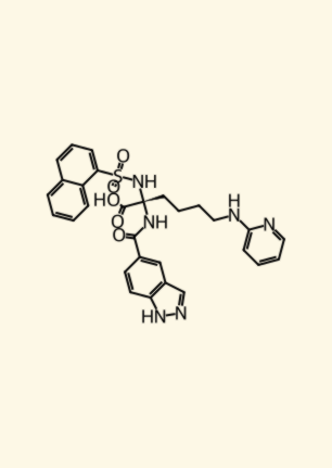 O=C(N[C@@](CCCCNc1ccccn1)(NS(=O)(=O)c1cccc2ccccc12)C(=O)O)c1ccc2[nH]ncc2c1